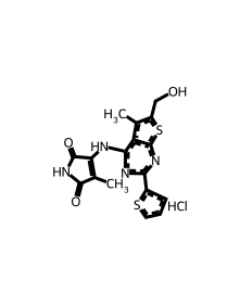 CC1=C(Nc2nc(-c3cccs3)nc3sc(CO)c(C)c23)C(=O)NC1=O.Cl